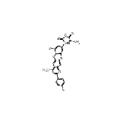 Cc1cc(-c2ccc(Cl)cc2)nc2ccc(Oc3c(Cl)cc(-n4nc(N)c(=O)[nH]c4=O)cc3Cl)cc12